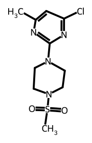 Cc1cc(Cl)nc(N2CCN(S(C)(=O)=O)CC2)n1